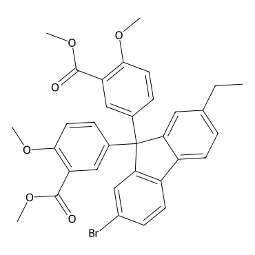 CCc1ccc2c(c1)C(c1ccc(OC)c(C(=O)OC)c1)(c1ccc(OC)c(C(=O)OC)c1)c1cc(Br)ccc1-2